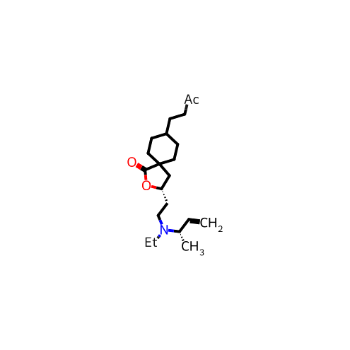 C=C[C@H](C)N(CC)CC[C@H]1CC2(CCC(CCC(C)=O)CC2)C(=O)O1